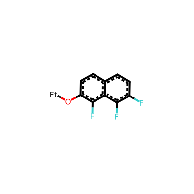 CCOc1ccc2ccc(F)c(F)c2c1F